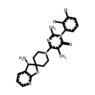 Cc1c(N2CCC3(CC2)Oc2ncccc2[C@H]3N)nc(C)n(-c2cccc(Cl)c2Cl)c1=O